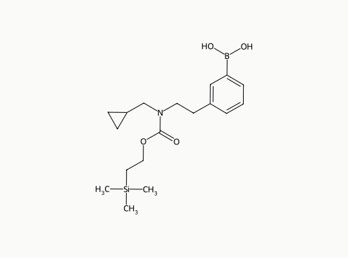 C[Si](C)(C)CCOC(=O)N(CCc1cccc(B(O)O)c1)CC1CC1